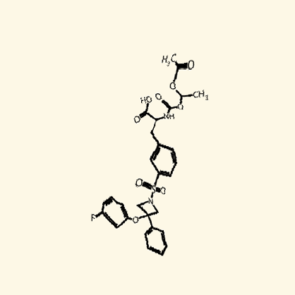 CC(=O)OC(C)OC(=O)N[C@@H](Cc1cccc(S(=O)(=O)N2CC(Oc3cccc(F)c3)(c3ccccc3)C2)c1)C(=O)O